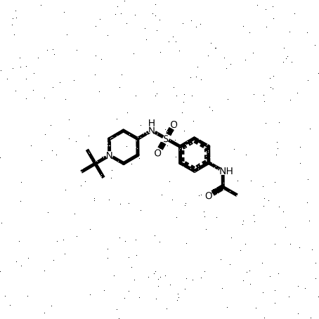 CC(=O)Nc1ccc(S(=O)(=O)NC2CCN(C(C)(C)C)CC2)cc1